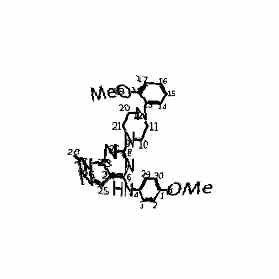 COc1ccc(Nc2nc(N3CCN(c4ccccc4OC)CC3)nc3c2cnn3C)cc1